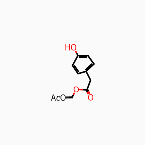 CC(=O)OCOC(=O)Cc1ccc(O)cc1